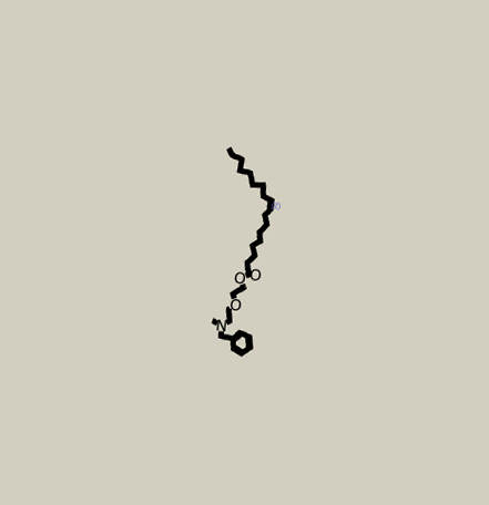 CCCCCCCC/C=C\CCCCCCCC(=O)OCCOCCN(C)Cc1ccccc1